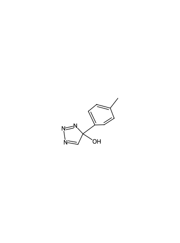 Cc1ccc(C2(O)C=NN=N2)cc1